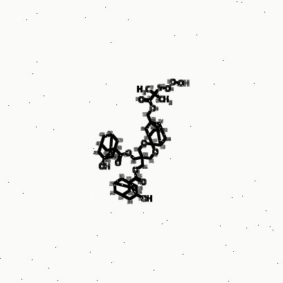 CC(C)(SOOO)C(=O)OCC12CC3CC(C1)C1(OCC(COC(=O)C45CC6CC(CC(O)(C6)C4)C5)(COC(=O)C45CC6CC(CC(O)(C6)C4)C5)CO1)C(C3)C2